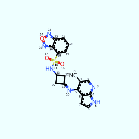 N#Cc1cnc2[nH]ccc2c1N=C1CC(NS(=O)(=O)c2cccc3nonc23)C1